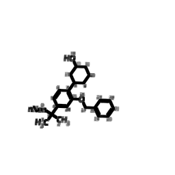 CCCCCCCCCC(C)(C)c1ccc(C2CCCC(O)C2)c(OCc2ccccc2)c1